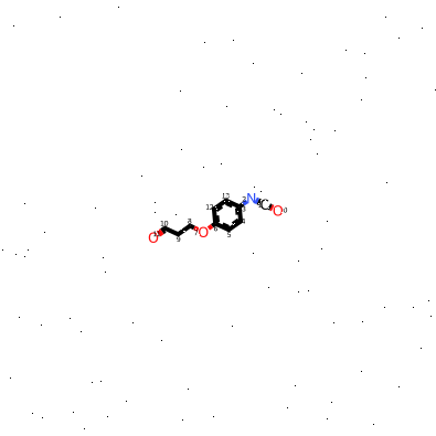 O=C=Nc1ccc(OCCC=O)cc1